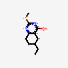 CCC1CCc2nc(SC)nc(O)c2C1